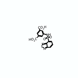 O=C(O)c1cc(NS(=O)(=O)c2cccc3nsnc23)cc(C(=O)O)c1